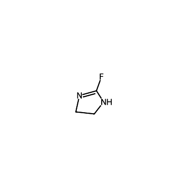 FC1=NCCN1